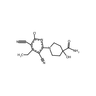 CCc1c(C#N)c(Cl)nc(N2CCC(O)(C(N)=O)CC2)c1C#N